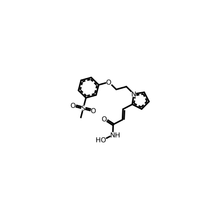 CS(=O)(=O)c1cccc(OCCn2cccc2C=CC(=O)NO)c1